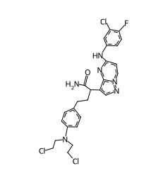 NC(=O)C(CCc1ccc(N(CCCl)CCCl)cc1)c1cnn2ccc(Nc3ccc(F)c(Cl)c3)nc12